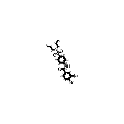 CCCN(CCC)S(=O)(=O)c1ccc(NC(=O)c2ccc(Br)c(I)c2)cc1